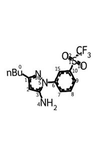 CCCCc1cc(N)n(-c2cccc(S(=O)(=O)C(F)(F)F)c2)n1